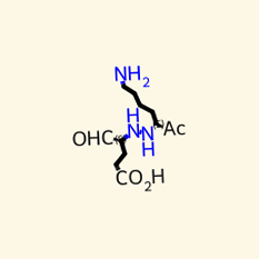 CC(=O)[C@H](CCCCN)NN[C@H](C=O)CCC(=O)O